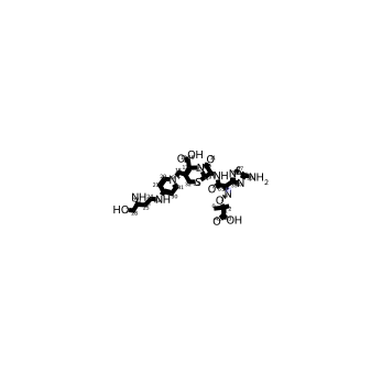 CC(C)(O/N=C(\C(=O)NC1C(=O)N2C(C(=O)O)=C(C[n+]3ccc(NCC[C@H](N)CO)cc3)CSC12)c1nsc(N)n1)C(=O)O